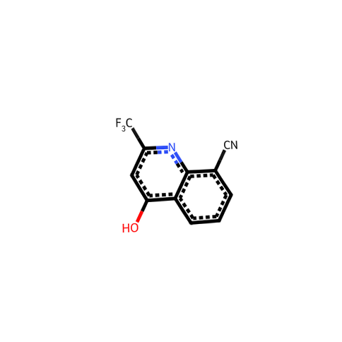 N#Cc1cccc2c(O)cc(C(F)(F)F)nc12